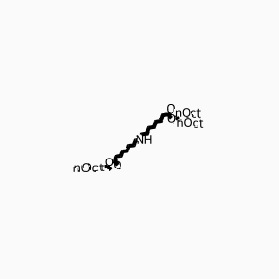 CCCCCCCCC(C)OC(=O)CCCCCCCNCCCCCCCC(=O)OC(CCCCCCCC)CCCCCCCC